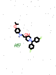 CC(C)Oc1ccc(N(C)CCC2(O)CCN(C(c3ccc(F)cc3)c3ccc(F)cc3)CC2)cc1.Cl.Cl